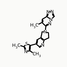 Cc1nc(C)c(-c2cnc3c(c2)CN(c2nn4cnnc4cc2C)CC3)s1